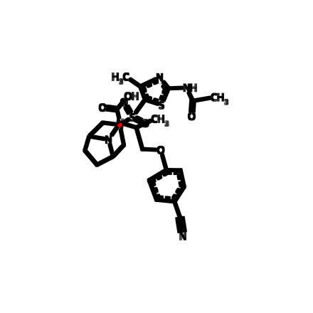 CC(=O)Nc1nc(C)c(S(=O)(=O)N2CC3CCC(C2)N3N(C(=O)O)C(C)COc2ccc(C#N)cc2)s1